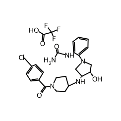 NC(=O)Nc1ccccc1N1C[C@@H](O)[C@H](NC2CCN(C(=O)c3ccc(Cl)cc3)CC2)C1.O=C(O)C(F)(F)F